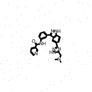 CN(C)Cc1nc(-c2ccc3[nH]nc(-c4cccc(NC(=O)c5cccnc5)c4)c3c2)n[nH]1